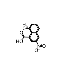 Cc1cccc2cc([N+](=O)[O-])cc(C(=O)O)c12